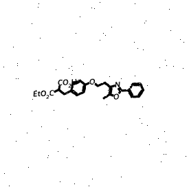 CCOC(=O)C(Cc1ccc(OCCc2nc(-c3ccccc3)oc2C)cc1)C(=O)O